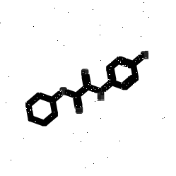 O=C(Nc1ccc(Cl)cc1)C(=O)OC1CCCCC1